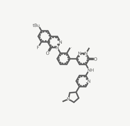 [CH2]c1c(-c2cc(Nc3ccc(C4CCN(C)C4)cn3)c(=O)n(C)n2)cccc1-n1ncc2cc(C(C)(C)C)cc(F)c2c1=O